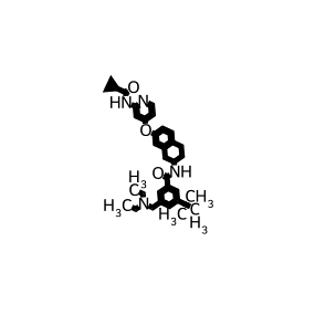 CCN(CC)Cc1cc(C(=O)NC2CCc3ccc(Oc4ccnc(NC(=O)C5CC5)c4)cc3C2)cc(C(C)(C)C)c1